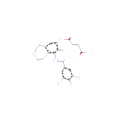 CC(Nc1c(Cl)ccc2c1CCNCC2)c1cc(F)c(F)c(F)c1.O=C(O)CCC(=O)O